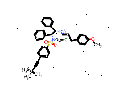 COc1ccc(CCCN[C@@H](c2ccccc2)[C@@H](c2ccccc2)[N]([Ru][Cl])S(=O)(=O)c2ccc(C#C[Si](C)(C)C)cc2)cc1